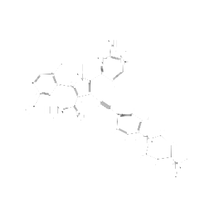 Cc1ccc(Cl)cc1-c1[nH]c(-c2ccnc(N)n2)c(C#Cc2ccc(N3CCC(N(C)C)CC3)cc2)c1C(N)=O